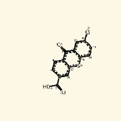 O=C(O)c1ccc2c(=O)c3cc(Cl)ccc3sc2c1